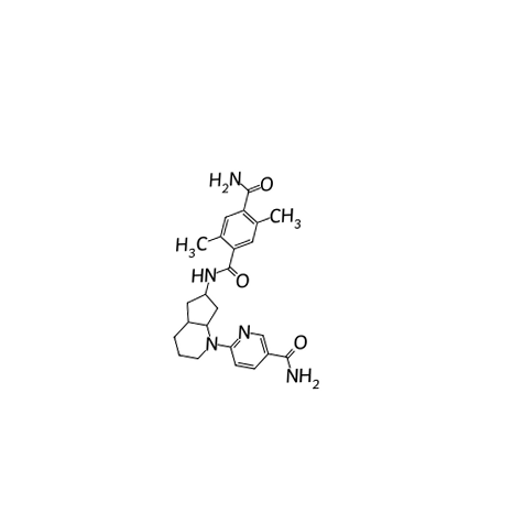 Cc1cc(C(=O)NC2CC3CCCN(c4ccc(C(N)=O)cn4)C3C2)c(C)cc1C(N)=O